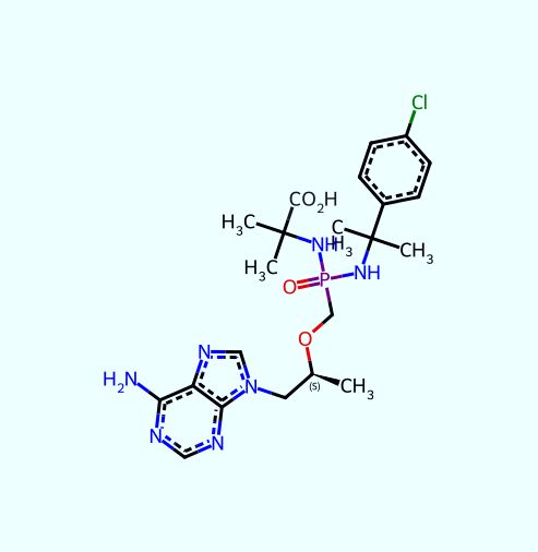 C[C@@H](Cn1cnc2c(N)ncnc21)OCP(=O)(NC(C)(C)C(=O)O)NC(C)(C)c1ccc(Cl)cc1